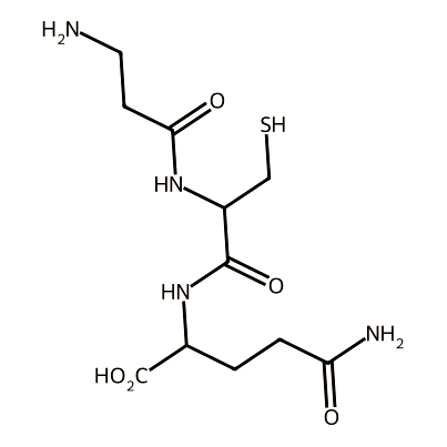 NCCC(=O)NC(CS)C(=O)NC(CCC(N)=O)C(=O)O